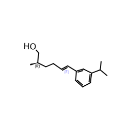 CC(C)c1cccc(/C=C/CC[C@@H](C)CO)c1